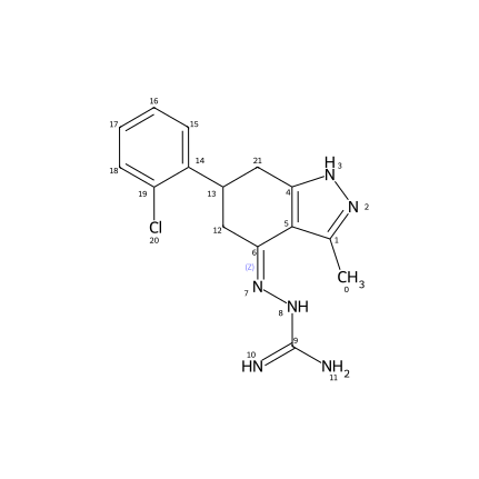 Cc1n[nH]c2c1/C(=N\NC(=N)N)CC(c1ccccc1Cl)C2